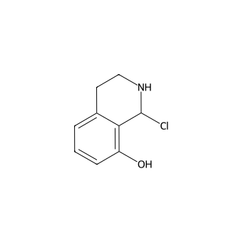 Oc1cccc2c1C(Cl)NCC2